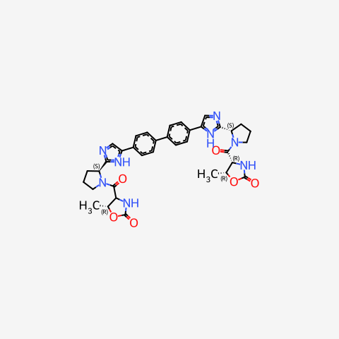 C[C@H]1OC(=O)NC1C(=O)N1CCC[C@H]1c1ncc(-c2ccc(-c3ccc(-c4cnc([C@@H]5CCCN5C(=O)[C@@H]5NC(=O)O[C@@H]5C)[nH]4)cc3)cc2)[nH]1